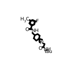 Cc1cc(F)cc(C(=O)NCC2CCC3(CC2)CN(CC(=O)NC(C)(C)C)C3)c1